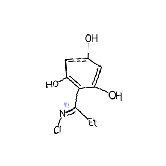 CC/C(=N\Cl)c1c(O)cc(O)cc1O